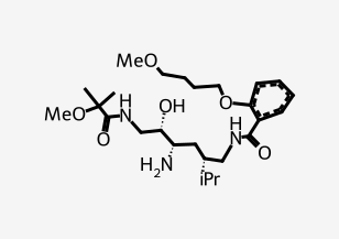 COCCCCOc1ccccc1C(=O)NC[C@@H](C[C@H](N)[C@@H](O)CNC(=O)C(C)(C)OC)C(C)C